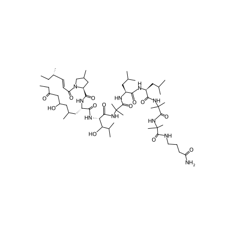 CCC(=O)CC(O)CC(C)C[C@H](NC(=O)[C@@H]1CC(C)CN1C(=O)/C=C/[C@@H](C)CC)C(=O)N[C@H](C(=O)NC(C)(C)C(=O)N[C@@H](CC(C)C)C(=O)N[C@@H](CC(C)C)C(=O)NC(C)(C)C(=O)NC(C)(C)C(=O)NCCCC(N)=O)C(O)C(C)C